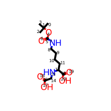 CC(C)(C)OC(=O)NCCCCC(NCC(=O)O)C(=O)O